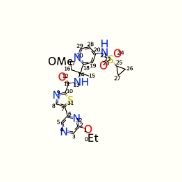 CCOc1cncc(-c2cnc(C(=O)NC(C)(COC)c3cc(NS(=O)(=O)C4CC4)ccn3)s2)n1